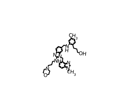 Cc1ccc(CCCO)c(NCc2ccc3nc(NCCCN4CCOCC4)n(Cc4cccc5c4ncn5C)c3c2)c1